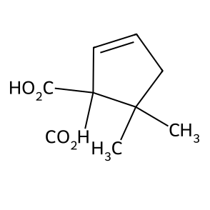 CC1(C)CC=CC1(C(=O)O)C(=O)O